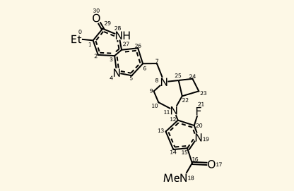 CCc1cc2ncc(CN3CCN(c4ccc(C(=O)NC)nc4F)C4CCC43)cc2[nH]c1=O